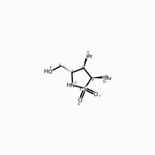 CC(C)[C@@H]1[C@@H](CO)NS(=O)(=O)[C@@H]1C(C)(C)C